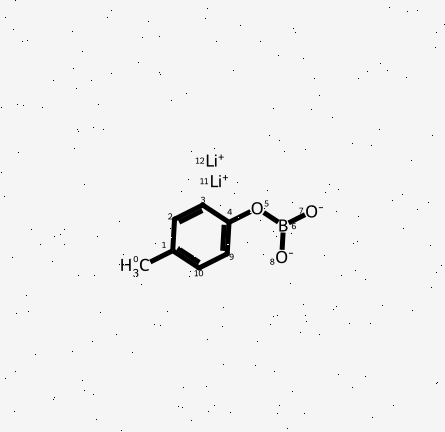 Cc1ccc(OB([O-])[O-])cc1.[Li+].[Li+]